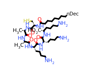 CCCCCCCCCCCCCCCCCC(=O)N[C@@H](CS)C(=O)N[C@@H](C)C(=O)N[C@@H](C)C(=O)N[C@@H](CCCCN)C(=O)N[C@@H](CCCCN)C(=O)N[C@@H](CCCCN)C(=O)O